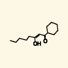 CCCCC/C(O)=C/C(=O)C1CCCCC1